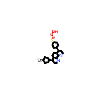 CCc1ccc(-c2ccnc3c2ccc2c(-c4ccc(SOOO)cc4)ccnc23)cc1